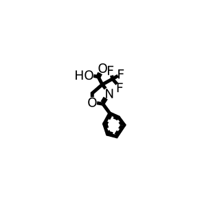 O=C(O)C1(C(F)(F)F)COC(c2ccccc2)=N1